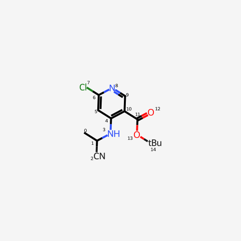 CC(C#N)Nc1cc(Cl)ncc1C(=O)OC(C)(C)C